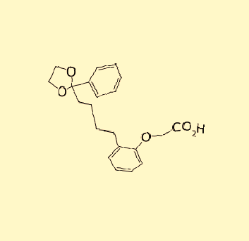 O=C(O)COc1ccccc1CCCCC1(c2ccccc2)OCCO1